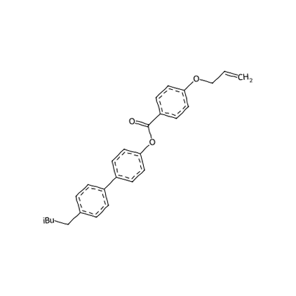 C=CCOc1ccc(C(=O)Oc2ccc(-c3ccc(CC(C)CC)cc3)cc2)cc1